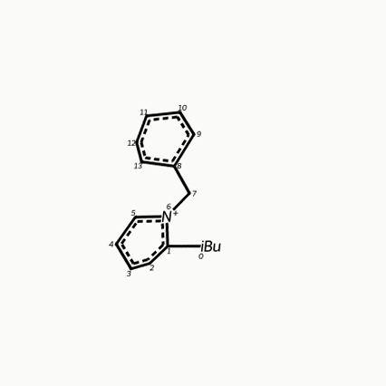 CCC(C)c1cccc[n+]1Cc1ccccc1